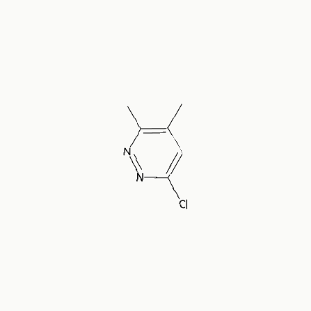 Cc1cc(Cl)nnc1C